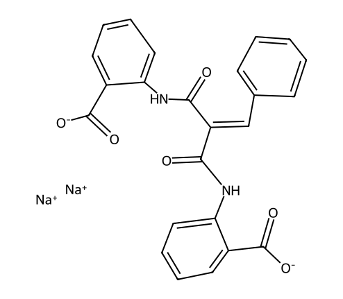 O=C(Nc1ccccc1C(=O)[O-])C(=Cc1ccccc1)C(=O)Nc1ccccc1C(=O)[O-].[Na+].[Na+]